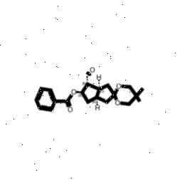 CC1(C)COC2(C[C@H]3C[C@@H](OC(=O)c4ccccc4)[C@H](C=O)[C@H]3C2)OC1